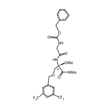 CNC(=O)[C@](COCc1cc(C(F)(F)F)cc(C(F)(F)F)c1)(NC(=O)CNC(=O)OCc1ccccc1)OC